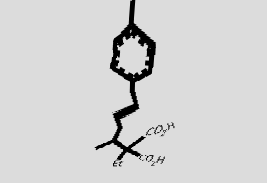 CCC(C(=O)O)(C(=O)O)C(C)CCc1ccc(C)cc1